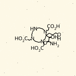 C=C(C(N)=O)C1(CC(O)CO)CN(CC(=O)O)CCN(CC(=O)O)CCNCCN1CC(=O)O